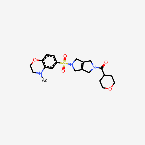 CC(=O)N1CCOc2ccc(S(=O)(=O)N3CC4=C(CN(C(=O)C5CCOCC5)C4)C3)cc21